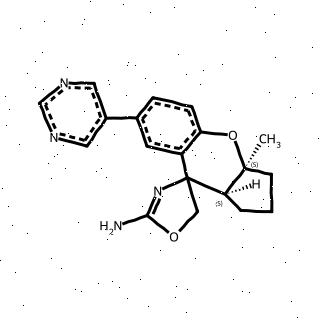 C[C@]12CCC[C@H]1C1(COC(N)=N1)c1cc(-c3cncnc3)ccc1O2